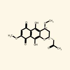 COC1=CC(=O)c2c(O)c3c(c(O)c2C1=O)O[C@@H](CC(C)=O)C[C@@H]3OC